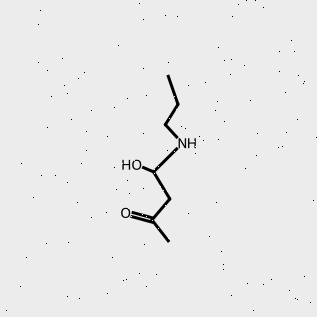 CCCNC(O)CC(C)=O